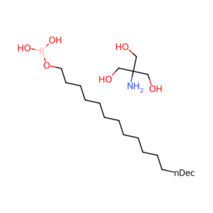 CCCCCCCCCCCCCCCCCCCCCCOB(O)O.NC(CO)(CO)CO